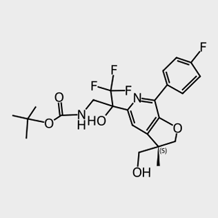 CC(C)(C)OC(=O)NCC(O)(c1cc2c(c(-c3ccc(F)cc3)n1)OC[C@]2(C)CO)C(F)(F)F